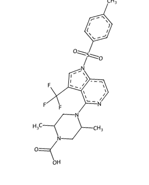 Cc1ccc(S(=O)(=O)n2cc(C(F)(F)F)c3c(N4CC(C)N(C(=O)O)CC4C)nccc32)cc1